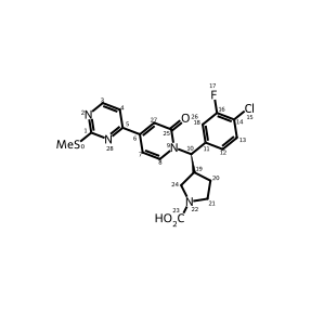 CSc1nccc(-c2ccn([C@@H](c3ccc(Cl)c(F)c3)C3CCN(C(=O)O)C3)c(=O)c2)n1